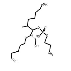 CCCCCCCCCCCCCCC(C)C(OP(=O)(O)OCCN)[C@H](CO)OCCCCC(=O)O